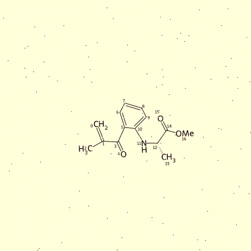 C=C(C)C(=O)c1ccccc1N[C@@H](C)C(=O)OC